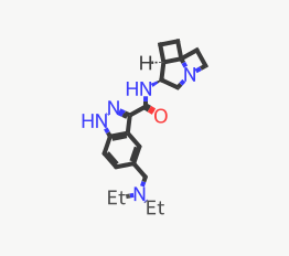 CCN(CC)Cc1ccc2[nH]nc(C(=O)N[C@@H]3CN4CCC45CC[C@H]35)c2c1